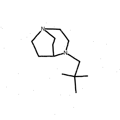 CC(C)(C)CN1CCN2CCC1CC2